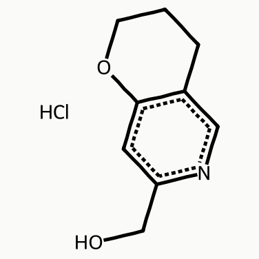 Cl.OCc1cc2c(cn1)CCCO2